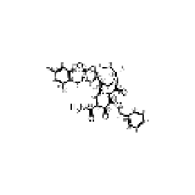 C[C@H]1CC[C@@]2(CN(Cc3c(F)cc(F)cc3F)C(=O)O2)[C@H]2CN1C(=O)c1c(OCc3ccccc3)c(=O)c(C(N)=O)cn12